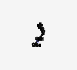 O=C(/C=C/c1c[nH]c2ccccc12)NCCCCN1CCc2ccc(OC(F)(F)F)cc2C1